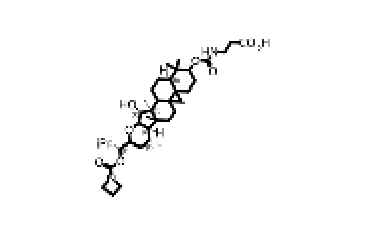 CC(C)[C@@H](OC(=O)N1CCC1)C1C[C@@H](C)[C@H]2C(O1)[C@H](O)[C@@]1(C)C3CC[C@H]4C(C)(C)C(OC(=O)NCCC(=O)O)CCC45CC35CCC21C